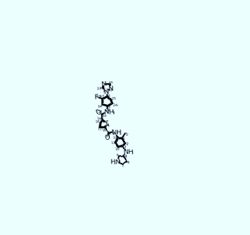 Cc1cc(N[C@H]2CCNC2)ccc1NC(=O)c1ccc(C(=O)Nc2ccc(-n3cncn3)c(F)c2)s1